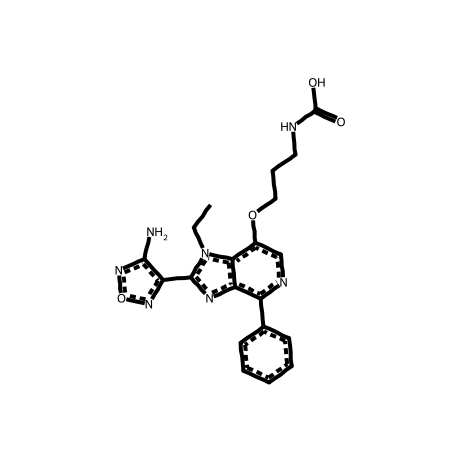 CCn1c(-c2nonc2N)nc2c(-c3ccccc3)ncc(OCCCNC(=O)O)c21